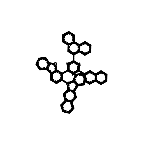 c1ccc2cc(-c3nc(-c4cc5ccccc5c5ccccc45)nc(-c4c(-n5c6ccccc6c6cc7ccccc7cc65)ccc5c4oc4ccccc45)n3)ccc2c1